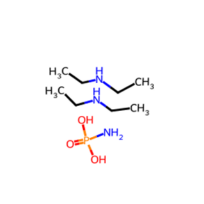 CCNCC.CCNCC.NP(=O)(O)O